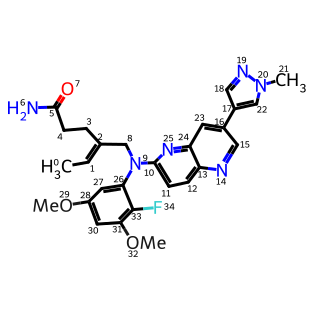 C/C=C(\CCC(N)=O)CN(c1ccc2ncc(-c3cnn(C)c3)cc2n1)c1cc(OC)cc(OC)c1F